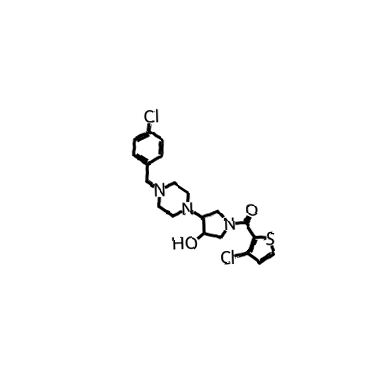 O=C(c1sccc1Cl)N1CC(O)C(N2CCN(Cc3ccc(Cl)cc3)CC2)C1